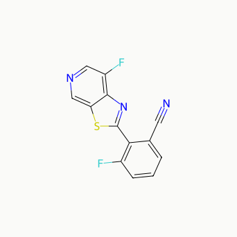 N#Cc1cccc(F)c1-c1nc2c(F)cncc2s1